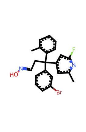 Cc1cc(C(C/C=N/O)(c2cccc(Br)c2)c2ccccc2C)cc(F)n1